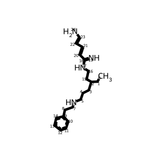 CCC(CCCNCCc1ccccc1)CCNC(=N)/C=C/C=C/N